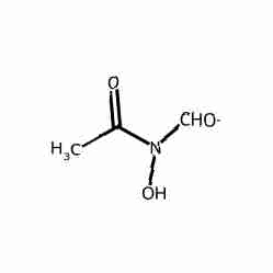 CC(=O)N(O)[C]=O